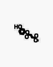 COC(=O)CCC(=O)Oc1cccc(O)c1